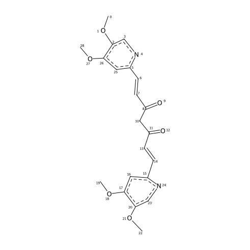 COc1cnc(/C=C/C(=O)CC(=O)/C=C/c2cc(OC)c(OC)cn2)cc1OC